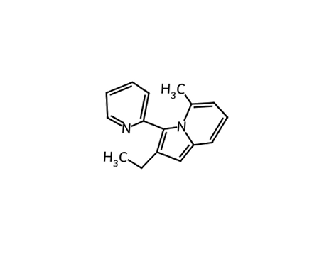 CCc1cc2cccc(C)n2c1-c1ccccn1